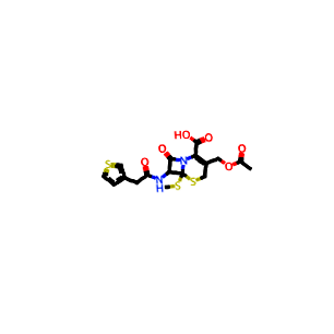 CSC12SCC(COC(C)=O)=C(C(=O)O)N1C(=O)C2NC(=O)Cc1ccsc1